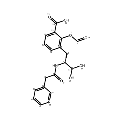 O=COc1c(C[C@H](NC(=O)Cc2cccnc2)B(O)O)cccc1C(=O)O